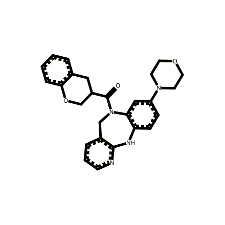 O=C(C1COc2ccccc2C1)N1Cc2cccnc2Nc2ccc(N3CCOCC3)cc21